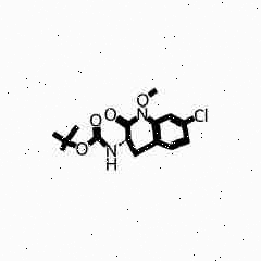 CON1C(=O)[C@@H](NC(=O)OC(C)(C)C)Cc2ccc(Cl)cc21